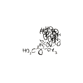 Cc1cc2c(=O)c(C(=O)O)cn(C3CC3)c2c(C#N)c1N1CC2OCCN(C(=O)OC(C)(P(=O)(O)O)P(=O)(O)O)[C@H]2C1